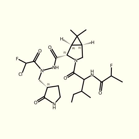 CCC(C)C(NC(=O)C(C)F)C(=O)N1C[C@H]2[C@@H]([C@H]1C(=O)NN(C[C@@H]1CCNC1=O)C(=O)C(F)Cl)C2(C)C